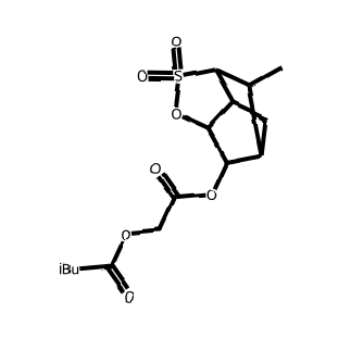 CCC(C)C(=O)OCC(=O)OC1C2CC3C1OS(=O)(=O)C3C2C